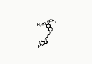 COc1cc2c(cc1OC)CN(CCCCn1ccc3cc(F)ncc31)CC2